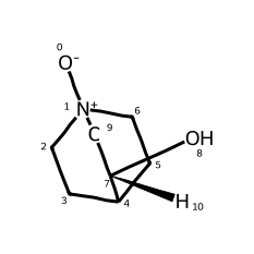 [O-][N+]12CCC(CC1)[C@@H](O)C2